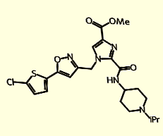 COC(=O)c1cn(Cc2cc(-c3ccc(Cl)s3)on2)c(C(=O)NC2CCN(C(C)C)CC2)n1